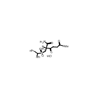 CCCC(CCC)S(=O)(=O)CC(N)(C(N)=O)C(=O)CCC(=O)NC.Cl